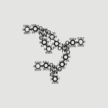 C1=CC(c2ccc(Oc3nc(Oc4ccc(-c5ccc(Oc6nc(Oc7ccccc7)nc(Oc7ccc(C8CCCCC8)cc7)n6)cc5)cc4)nc(Oc4ccc(C5CCCCC5)cc4)n3)cc2)CC=C1Oc1nc(Oc2ccc(C3CCCCC3)cc2)nc(Oc2ccc(C3CCCCC3)cc2)n1